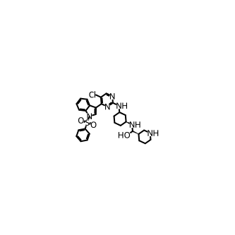 O=S(=O)(c1ccccc1)n1cc(-c2nc(NC3CCC[C@H](NC(O)[C@@H]4CCCNC4)C3)ncc2Cl)c2ccccc21